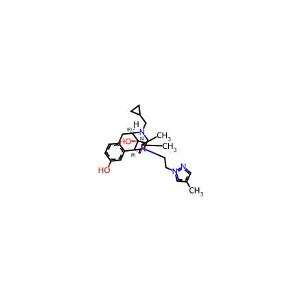 Cc1cnn(CCN2CC[C@]34CCN(CC5CC5)[C@H](Cc5ccc(O)cc53)[C@]4(O)CC2(C)C)c1